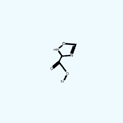 CCOC(=O)[C]1N=CON1